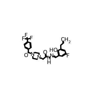 C=CCc1cc(F)cc(C=NNC(=O)CN2CCN(C(=O)c3ccc(C(F)(F)F)cc3)CC2)c1O